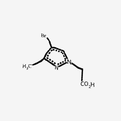 Cc1nn(CC(=O)O)cc1Br